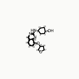 O[C@H]1CC[C@H](Nc2ncc3cccc(OC4CCOC4)c3n2)CC1